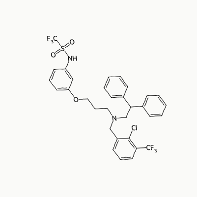 O=S(=O)(Nc1cccc(OCCCN(Cc2cccc(C(F)(F)F)c2Cl)CC(c2ccccc2)c2ccccc2)c1)C(F)(F)F